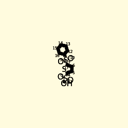 O=S(=O)(O)c1ccc(S(=O)(=O)c2ccccc2)s1